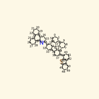 c1ccc(C2(c3ccccc3)c3cc(-c4ccc5c6ccccc6c6ccccc6c5n4)ccc3-c3ccc(-c4cccc5c4sc4ccccc45)cc32)cc1